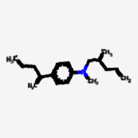 C=CCC(C)CN(C)c1ccc(C(=C)CCC)cc1